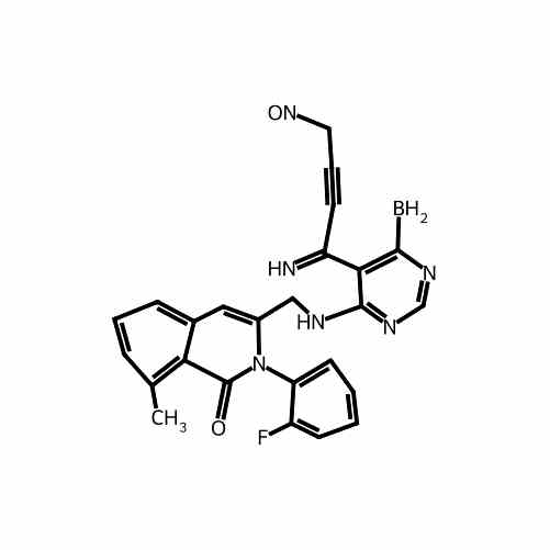 Bc1ncnc(NCc2cc3cccc(C)c3c(=O)n2-c2ccccc2F)c1C(=N)C#CCN=O